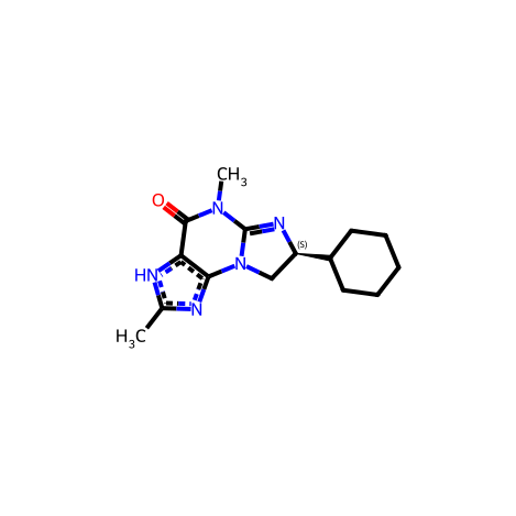 Cc1nc2c([nH]1)C(=O)N(C)C1=N[C@@H](C3CCCCC3)CN12